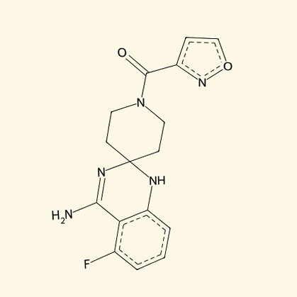 NC1=NC2(CCN(C(=O)c3ccon3)CC2)Nc2cccc(F)c21